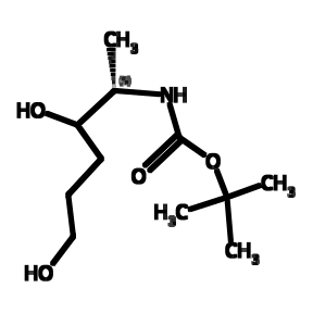 C[C@H](NC(=O)OC(C)(C)C)C(O)CCCO